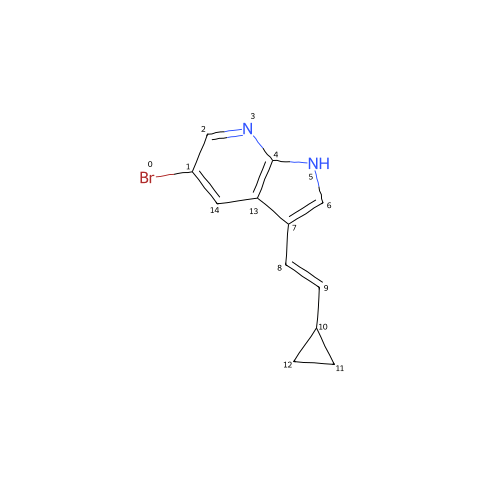 Brc1cnc2[nH]cc(C=CC3CC3)c2c1